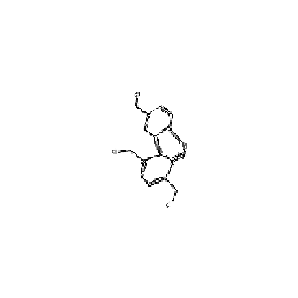 ClCc1ccc2ncc3c(CCl)ccc(CCl)c3c2c1